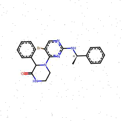 C[C@@H](Nc1ncc(Br)c(N2CCNC(=O)C2c2ccccc2)n1)c1ccccc1